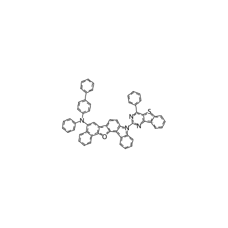 c1ccc(-c2ccc(N(c3ccccc3)c3cc4c5ccc6c(c7ccccc7n6-c6nc(-c7ccccc7)c7sc8ccccc8c7n6)c5oc4c4ccccc34)cc2)cc1